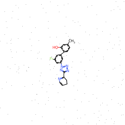 Cc1ccc(-c2cc(F)cc(-n3nnc(C4=NC=CCC4)n3)c2)c(O)c1